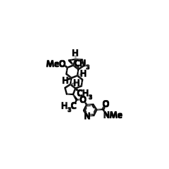 CNC(=O)c1cncc(OC(C)[C@H]2CC[C@H]3[C@@H]4CC(OC)[C@]56C[C@H]5CC[C@]6(C)[C@H]4CC[C@]23C)c1